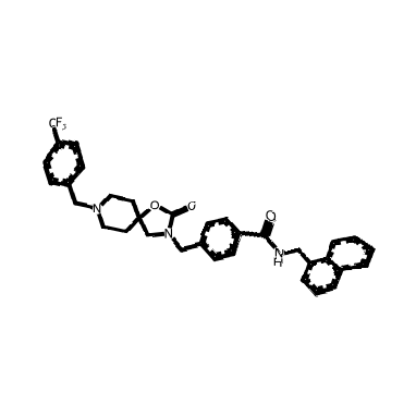 O=C(NCc1cccc2ccccc12)c1ccc(CN2CC3(CCN(Cc4ccc(C(F)(F)F)cc4)CC3)OC2=O)cc1